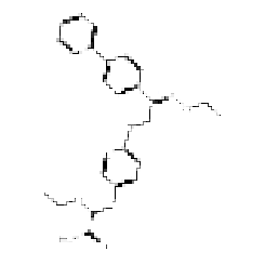 CCO/N=C(\COc1ccc(CC(OCC)C(=O)O)cc1)c1ccc(-c2ccccc2)cc1